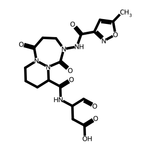 Cc1cc(C(=O)NN2CCC(=O)N3CCCC(C(=O)NC(C=O)CC(=O)O)N3C2=O)no1